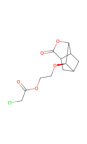 O=C(CCl)OCCO[C@@H]1C2CC3C(=O)OC1C3C2